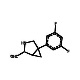 O=CC1NCC2(c3cc(F)cc(F)c3)CC12